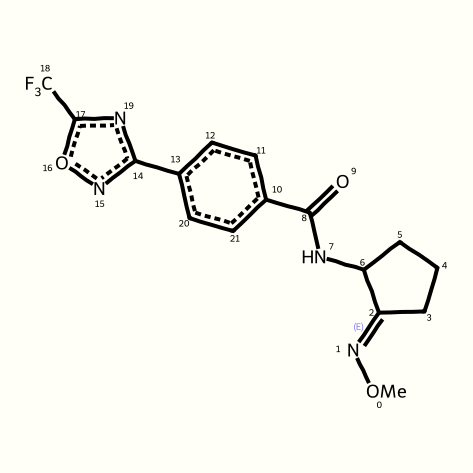 CO/N=C1\CCCC1NC(=O)c1ccc(-c2noc(C(F)(F)F)n2)cc1